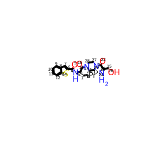 CC(C)C[C@H](NC(=O)c1cc2ccccc2s1)C(=O)N1CCN(C(=O)[C@@H](N)CO)CC1